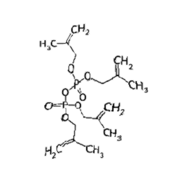 C=C(C)COP(=O)(OCC(=C)C)OP(=O)(OCC(=C)C)OCC(=C)C